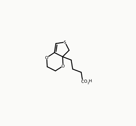 O=C(O)CCCC12CSC=C1OCCO2